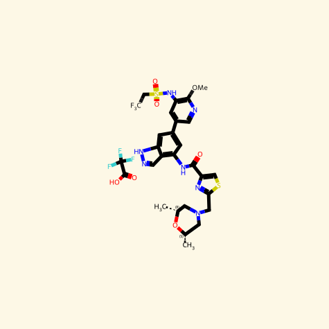 COc1ncc(-c2cc(NC(=O)c3csc(CN4C[C@@H](C)O[C@@H](C)C4)n3)c3cn[nH]c3c2)cc1NS(=O)(=O)CC(F)(F)F.O=C(O)C(F)(F)F